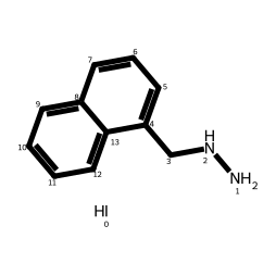 I.NNCc1cccc2ccccc12